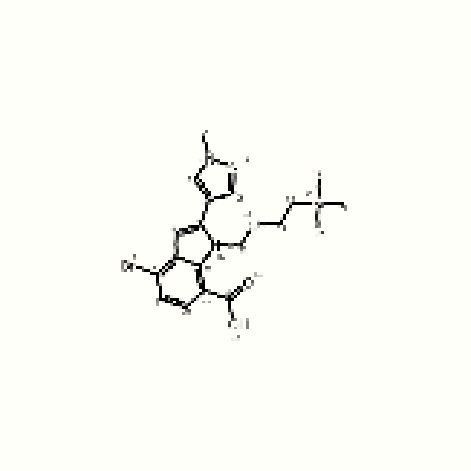 Cn1cc(-c2cc3c(Br)ccc(C(=O)O)c3n2COCC[Si](C)(C)C)cn1